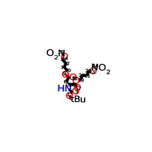 CC(C)(C)OC(=O)N[C@@H](CC(=O)OCCCCO[N+](=O)[O-])C(=O)OCCCCO[N+](=O)[O-]